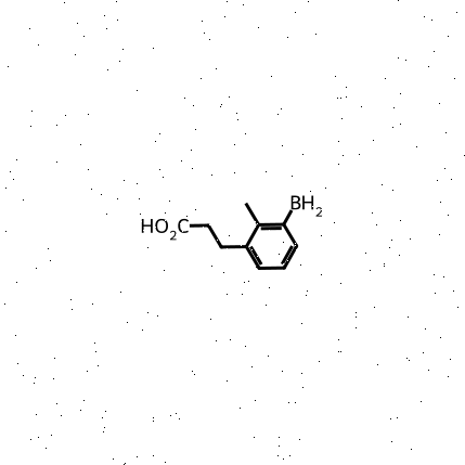 Bc1cccc(CCC(=O)O)c1C